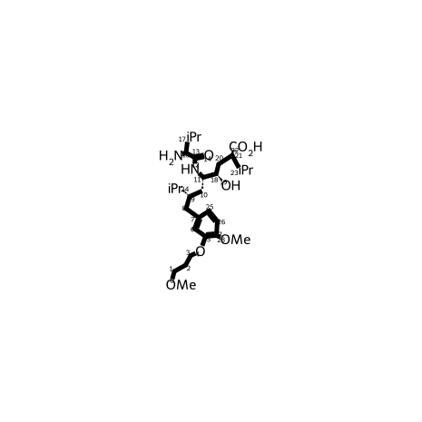 COCCCOc1cc(C[C@@H](C[C@H](NC(=O)C(N)C(C)C)[C@@H](O)C[C@H](C(=O)O)C(C)C)C(C)C)ccc1OC